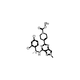 C[C@@H](Nc1nc(C2=CCN(C(=O)OC(C)(C)C)CC2)nc2cn(C)nc12)c1ccc(Cl)cc1Cl